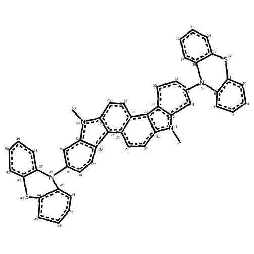 Cn1c2cc(N3c4ccccc4Sc4ccccc43)ccc2c2c3ccc4c(c3ccc21)c1ccc(N2c3ccccc3Sc3ccccc32)cc1n4C